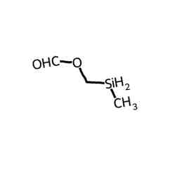 C[SiH2]COC=O